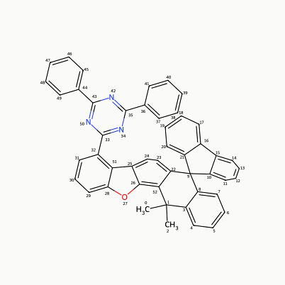 CC1(C)c2ccccc2C2(c3ccccc3-c3ccccc32)c2ccc3c(oc4cccc(-c5nc(-c6ccccc6)nc(-c6ccccc6)n5)c43)c21